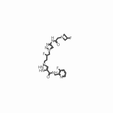 O=C(CN1CC(F)C1)Nc1cn(CC(F)CCN2C=C(C(=O)NCc3ncccc3F)NN2)nn1